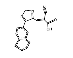 N#C/C(=C\C1=NCN=C1c1ccc2ccccc2c1)C(=O)O